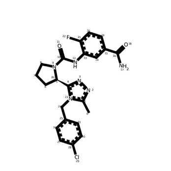 Cc1nnc([C@H]2CCCN2C(=O)Nc2cc(C(N)=O)ccc2F)n1Cc1ccc(Cl)cc1